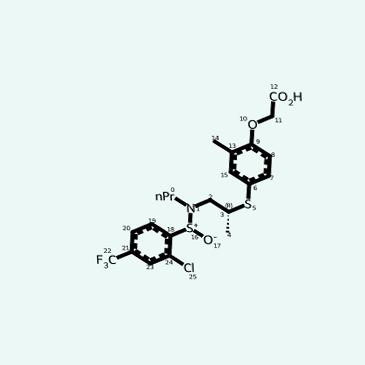 CCCN(C[C@@H](C)Sc1ccc(OCC(=O)O)c(C)c1)[S+]([O-])c1ccc(C(F)(F)F)cc1Cl